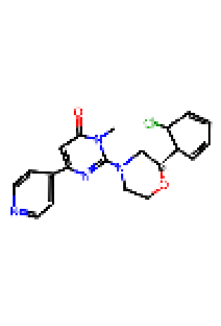 Cn1c(N2CCO[C@H](C3C=CC=CC3Cl)C2)nc(-c2ccncc2)cc1=O